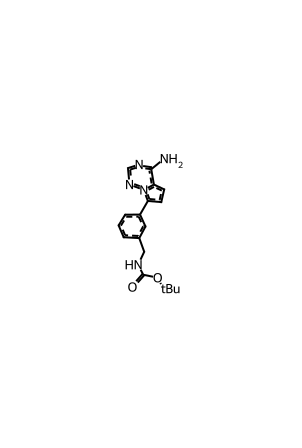 CC(C)(C)OC(=O)NCc1cccc(-c2ccc3c(N)ncnn23)c1